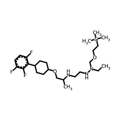 CCN(COCC[Si](C)(C)C)NCCNC(C)COC1CCC(c2c(F)ccc(F)c2F)CC1